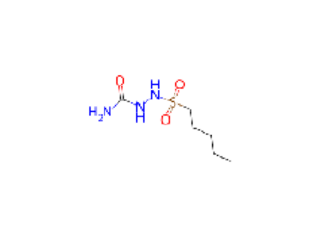 CCCCCS(=O)(=O)NNC(N)=O